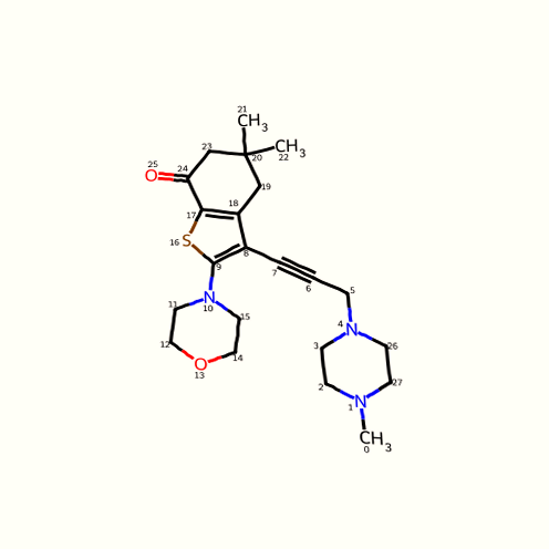 CN1CCN(CC#Cc2c(N3CCOCC3)sc3c2CC(C)(C)CC3=O)CC1